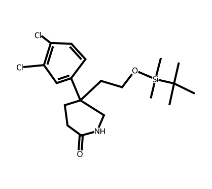 CC(C)(C)[Si](C)(C)OCCC1(c2ccc(Cl)c(Cl)c2)CCC(=O)NC1